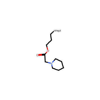 CCCCCCCCCCOC(=O)CN1CCCCC1